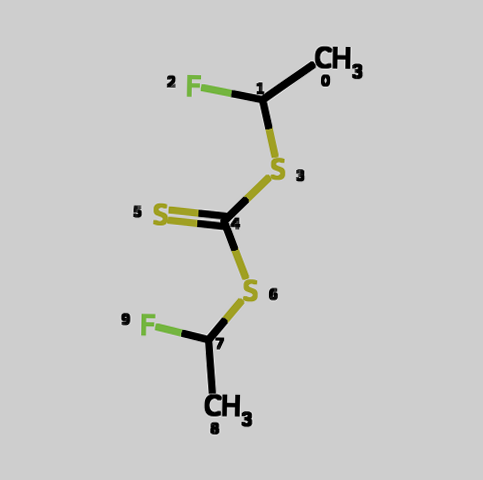 CC(F)SC(=S)SC(C)F